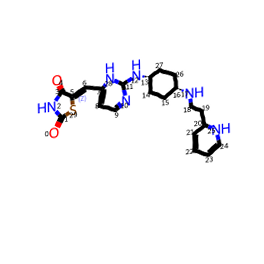 O=C1NC(=O)/C(=C/C2=CC=NC(N[C@H]3CC[C@@H](NCCC4C=CC=CN4)CC3)N2)S1